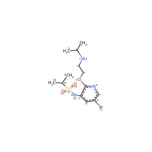 CC(C)NCCOc1ncc(Br)cc1NS(=O)(=O)C(C)C